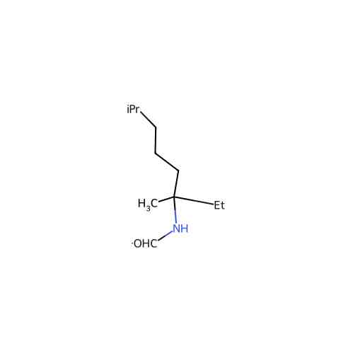 CCC(C)(CCCC(C)C)N[C]=O